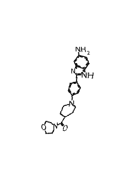 Nc1ccc2[nH]c(-c3ccc(N4CCC(C(=O)N5CCOCC5)CC4)cc3)nc2c1